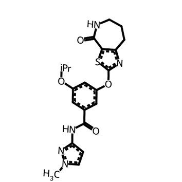 CC(C)Oc1cc(Oc2nc3c(s2)C(=O)NCCC3)cc(C(=O)Nc2ccn(C)n2)c1